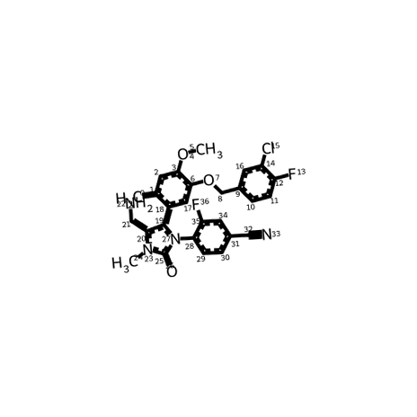 C=c1cc(OC)c(OCc2ccc(F)c(Cl)c2)c/c1=c1/c(=C\N)n(C)c(=O)n1-c1ccc(C#N)cc1F